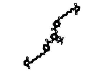 O=C(Oc1ccc(OC(=O)c2ccc(OCCCCCCN3C(=O)C=CC3=O)cc2)c2c1OC(F)(F)O2)c1ccc(OCCCCCCN2C(=O)C=CC2=O)cc1